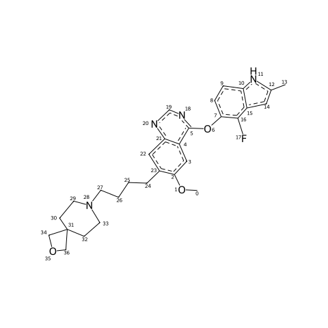 COc1cc2c(Oc3ccc4[nH]c(C)cc4c3F)ncnc2cc1CCCCN1CCC2(CC1)COC2